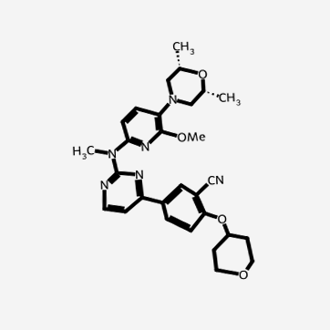 COc1nc(N(C)c2nccc(-c3ccc(OC4CCOCC4)c(C#N)c3)n2)ccc1N1C[C@@H](C)O[C@@H](C)C1